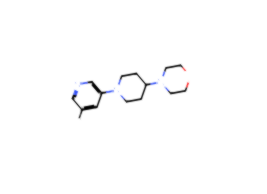 CC(C)c1cncc(N2CCC(N3CCOCC3)CC2)c1